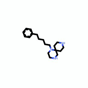 c1ccc(CCCCCN2CCNCC23CCNCC3)cc1